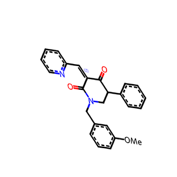 COc1cccc(CN2CC(c3ccccc3)C(=O)/C(=C/c3ccccn3)C2=O)c1